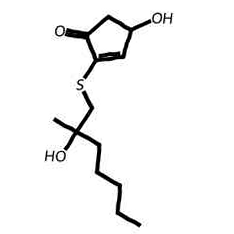 CCCCCC(C)(O)CSC1=CC(O)CC1=O